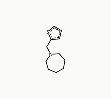 c1csc(CN2CCCCCC2)c1